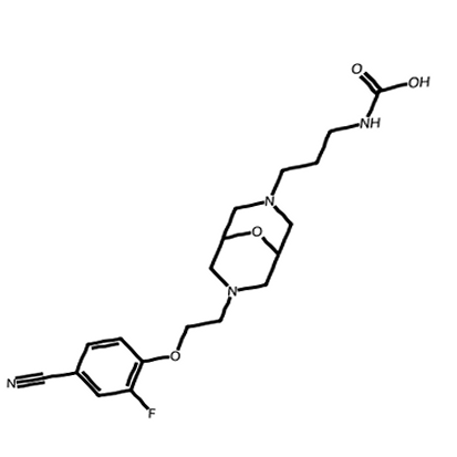 N#Cc1ccc(OCCN2CC3CN(CCCNC(=O)O)CC(C2)O3)c(F)c1